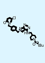 CC(C)(C)OC(=O)N1CCC(CNc2ncnc3nn(Cc4ccc(Cn5cc(Cl)ccc5=O)cc4)cc23)CC1